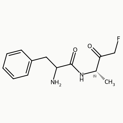 C[C@H](NC(=O)C(N)Cc1ccccc1)C(=O)CF